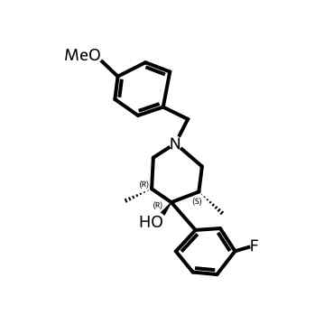 COc1ccc(CN2C[C@@H](C)[C@@](O)(c3cccc(F)c3)[C@@H](C)C2)cc1